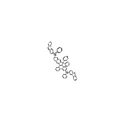 c1ccc(N(c2ccc3cc4c(cc3c2)C(c2ccccc2)(c2ccccc2)c2c-4c3ccccc3c3cc(N(c4ccccc4)c4ccc5sc6ccccc6c5c4)ccc23)c2ccc3sc4ccccc4c3c2)cc1